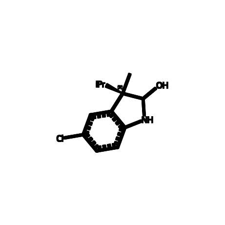 CC(C)[C@]1(C)c2cc(Cl)ccc2NC1O